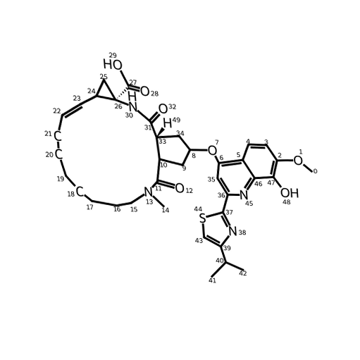 COc1ccc2c(OC3CC4C(=O)N(C)CCCCCCC/C=C\C5C[C@@]5(C(=O)O)NC(=O)[C@@H]4C3)cc(-c3nc(C(C)C)cs3)nc2c1O